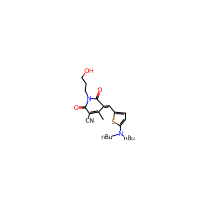 CCCCN(CCCC)c1ccc(/C=C2/C(=O)N(CCCO)C(=O)C(C#N)=C2C)s1